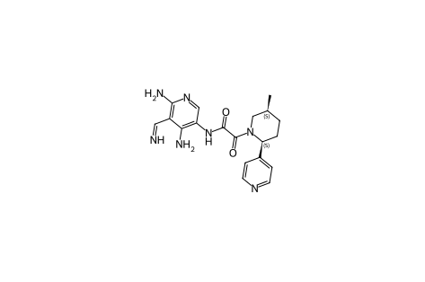 C[C@H]1CC[C@@H](c2ccncc2)N(C(=O)C(=O)Nc2cnc(N)c(C=N)c2N)C1